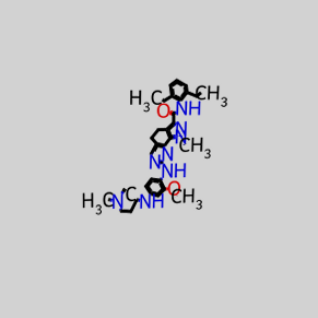 CCc1cccc(CC)c1NC(=O)c1nn(C)c2c1CCc1cnc(Nc3ccc(NC4CCN(C)CC4)cc3OC)nc1-2